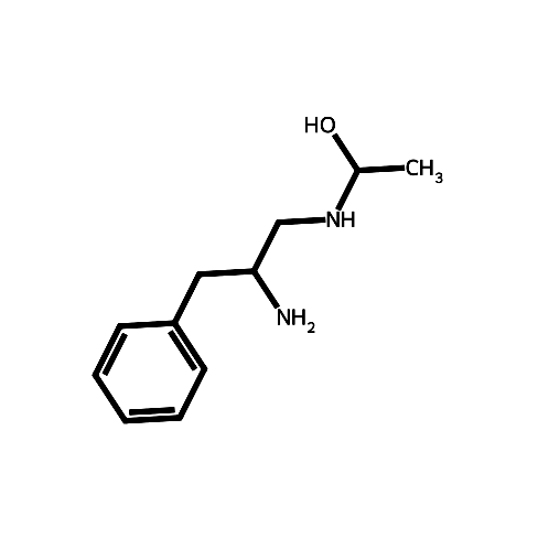 CC(O)NCC(N)Cc1ccccc1